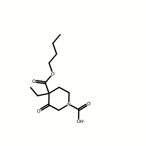 CCCCOC(=O)C1(CC)CCN(C(=O)O)CC1=O